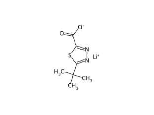 CC(C)(C)c1nnc(C(=O)[O-])s1.[Li+]